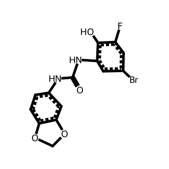 O=C(Nc1ccc2c(c1)OCO2)Nc1cc(Br)cc(F)c1O